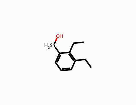 CCc1ccc[c]([SnH2][OH])c1CC